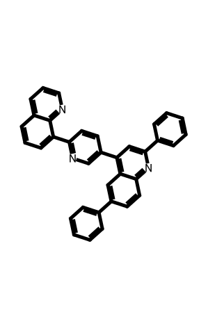 c1ccc(-c2ccc3nc(-c4ccccc4)cc(-c4ccc(-c5cccc6cccnc56)nc4)c3c2)cc1